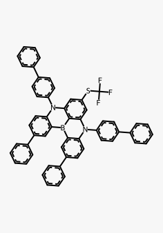 FC(F)(F)Sc1cc2c3c(c1)N(c1ccc(-c4ccccc4)cc1)c1ccc(-c4ccccc4)cc1B3c1cc(-c3ccccc3)ccc1N2c1ccc(-c2ccccc2)cc1